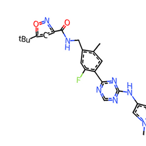 Cc1cc(-c2ncnc(Nc3cnn(C)c3)n2)c(F)cc1CNC(=O)c1cc(C(C)(C)C)on1